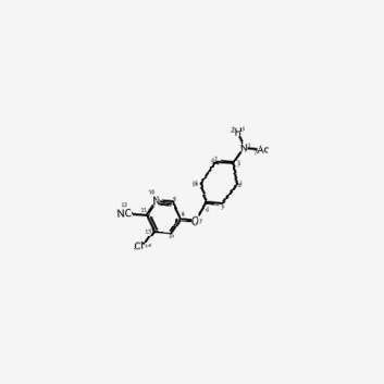 [2H]N(C(C)=O)C1CCC(Oc2cnc(C#N)c(Cl)c2)CC1